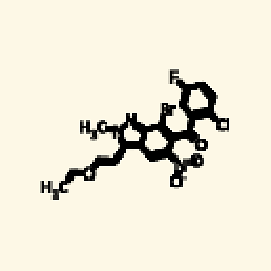 CCO/C=C/c1c2cc([N+](=O)[O-])c(C(=O)c3cc(F)ccc3Cl)c(Br)c2nn1C